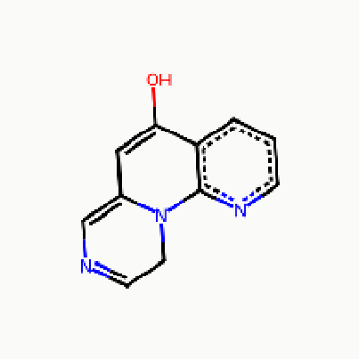 OC1=CC2=CN=CCN2c2ncccc21